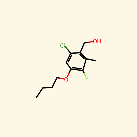 CCCCOc1cc(Cl)c(CO)c(C)c1F